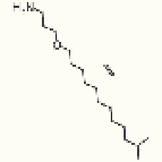 C=C.CC(C)CCCCCCCCCCOCCCN